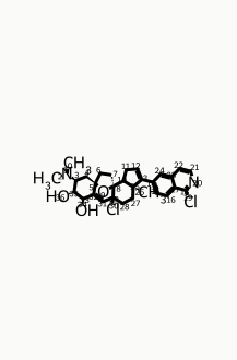 CN(C)[C@H]1C[C@@]23CC[C@]4(O2)C2CC=C(c5ccc6c(Cl)nccc6c5)[C@@]2(C)CCC4(Cl)C=C3[C@@H](O)[C@@H]1O